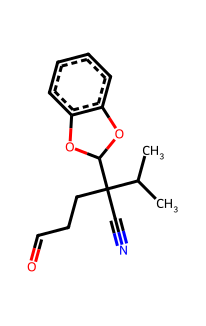 CC(C)C(C#N)(CCC=O)C1Oc2ccccc2O1